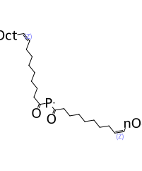 CCCCCCCC/C=C\CCCCCCCC(=O)[P]C(=O)CCCCCCC/C=C\CCCCCCCC